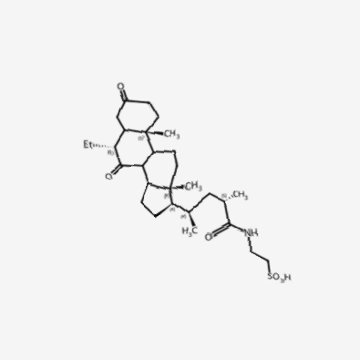 CC[C@H]1C(=O)C2C(CC[C@@]3(C)C2CC[C@@H]3[C@H](C)C[C@H](C)C(=O)NCCS(=O)(=O)O)[C@@]2(C)CCC(=O)CC12